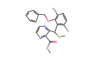 COC(=O)c1nccnc1C(SC)c1c(F)ccc(Cl)c1OCc1ccccc1